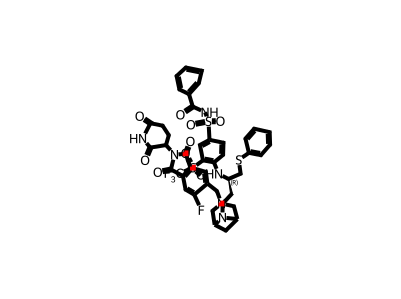 O=C1CCC(N2C(=O)c3cc(F)c(CN4CC5CC(C4)N5CC[C@H](CSc4ccccc4)Nc4ccc(S(=O)(=O)NC(=O)c5ccccc5)cc4S(=O)(=O)C(F)(F)F)cc3C2=O)C(=O)N1